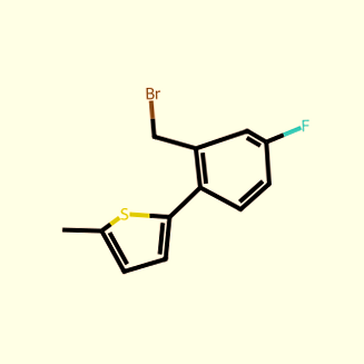 Cc1ccc(-c2ccc(F)cc2CBr)s1